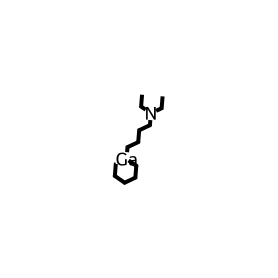 CCN(CC)CCC[CH2][Ga]1[CH2]CCC[CH2]1